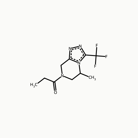 CCC(=O)N1Cc2nnc(C(F)(F)F)n2C(C)C1